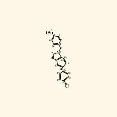 CC(C)(C)c1ccc(Cn2ccc3cc(-c4ccc(Cl)cc4)ccc32)cc1